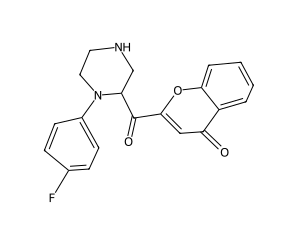 O=C(c1cc(=O)c2ccccc2o1)C1CNCCN1c1ccc(F)cc1